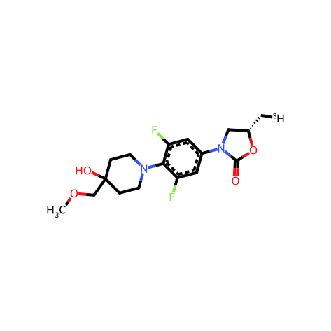 [3H]C[C@H]1CN(c2cc(F)c(N3CCC(O)(COC)CC3)c(F)c2)C(=O)O1